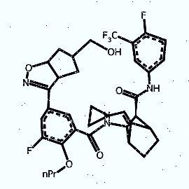 CCCOc1c(F)cc(C2=NOC3CC(CO)CC23)cc1C(=O)NC1C2CCC(/C2=C/C2CC2)[C@@H]1C(=O)Nc1ccc(F)c(C(F)(F)F)c1